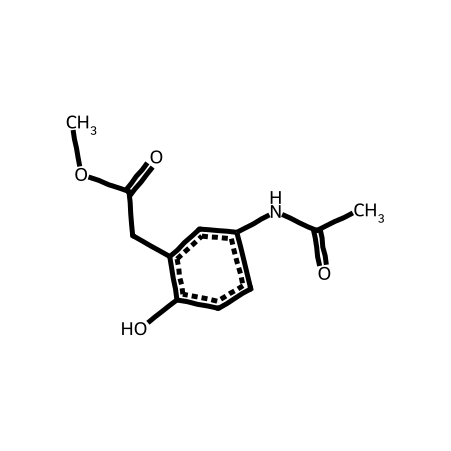 COC(=O)Cc1cc(NC(C)=O)ccc1O